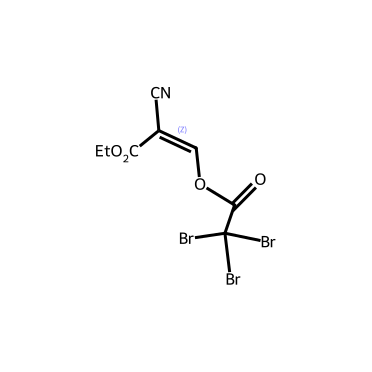 CCOC(=O)/C(C#N)=C\OC(=O)C(Br)(Br)Br